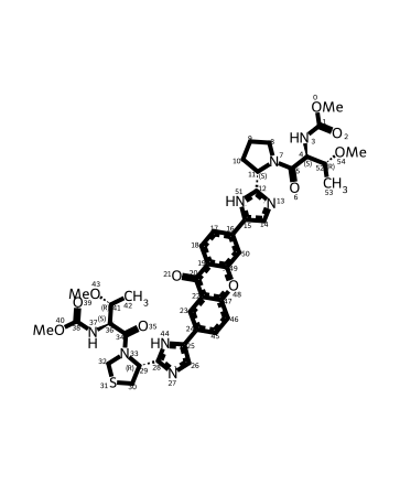 COC(=O)N[C@H](C(=O)N1CCC[C@H]1c1ncc(-c2ccc3c(=O)c4cc(-c5cnc([C@@H]6CSCN6C(=O)[C@@H](NC(=O)OC)[C@@H](C)OC)[nH]5)ccc4oc3c2)[nH]1)[C@@H](C)OC